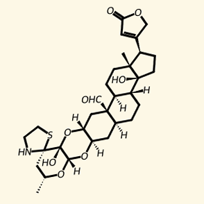 C[C@@H]1C[C@@]2(NCCS2)[C@]2(O)O[C@@H]3C[C@@]4(C=O)[C@@H](CC[C@@H]5[C@@H]4CC[C@]4(C)[C@@H](C6=CC(=O)OC6)CC[C@]54O)C[C@H]3O[C@@H]2O1